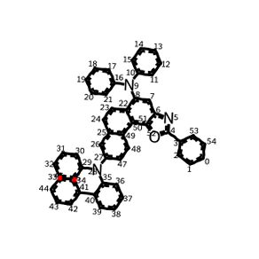 c1ccc(-c2nc3cc(N(c4ccccc4)c4ccccc4)c4ccc5cc(N(c6ccccc6)c6ccccc6-c6ccccc6)ccc5c4c3o2)cc1